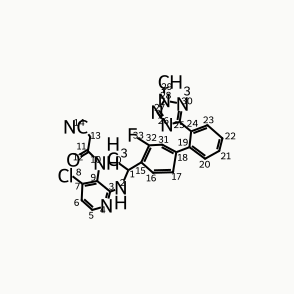 CC(Nc1nccc(Cl)c1NC(=O)CC#N)c1ccc(-c2ccccc2-c2nnn(C)n2)cc1F